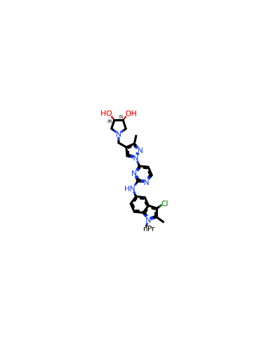 CCCn1c(C)c(Cl)c2cc(Nc3nccc(-n4cc(CN5C[C@@H](O)[C@@H](O)C5)c(C)n4)n3)ccc21